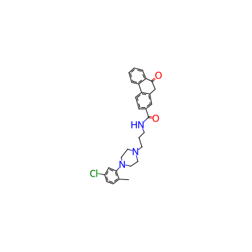 Cc1ccc(Cl)cc1N1CCN(CCCNC(=O)c2ccc3c(c2)CC(=O)c2ccccc2-3)CC1